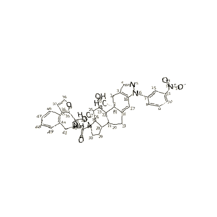 C[C@]12Cc3cnn(-c4cccc([N+](=O)[O-])c4)c3C=C1CCC1C2[C@@H](O)C[C@@]2(C)C1CC[C@]2(OC(=O)c1ccco1)C(=O)NCc1ccccc1